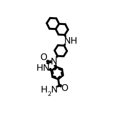 NC(=O)c1ccc2c(c1)[nH]c(=O)n2C1CCC(NC2CCC3CCCCC3C2)CC1